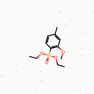 CCOP(=O)(OCC)c1ccc(C)cc1OC